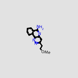 COCCc1cc2nc(N)c3ccccc3c2nn1